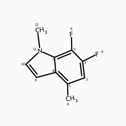 Cc1cc(F)c(F)c2c1ccn2C